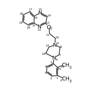 Cc1cccc(N2CCN(CCOc3cnc4ccccc4n3)CC2)c1C